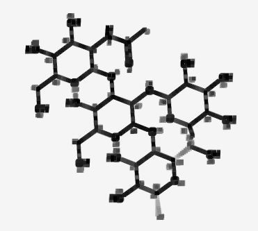 CC(=O)NC1C(OC2C(O)C(CO)OC(OC3C(O)C(O)[C@@H](C)O[C@H]3CO)C2OC2OC(C)C(O)C(O)C2O)OC(CO)C(O)C1O